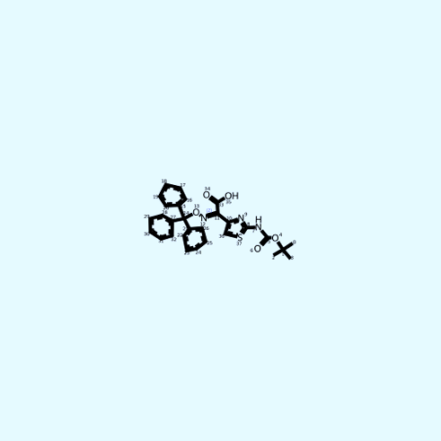 CC(C)(C)OC(=O)Nc1nc(/C(=N/OC(c2ccccc2)(c2ccccc2)c2ccccc2)C(=O)O)cs1